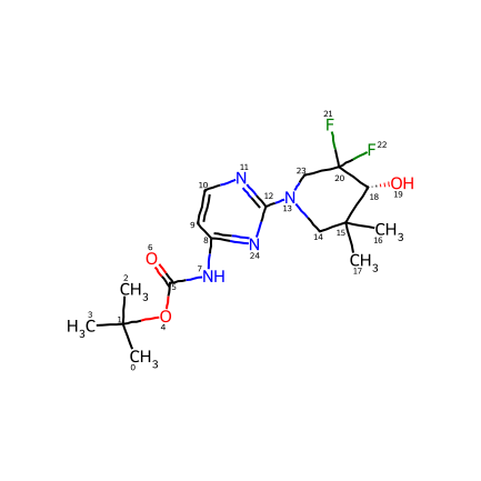 CC(C)(C)OC(=O)Nc1ccnc(N2CC(C)(C)[C@@H](O)C(F)(F)C2)n1